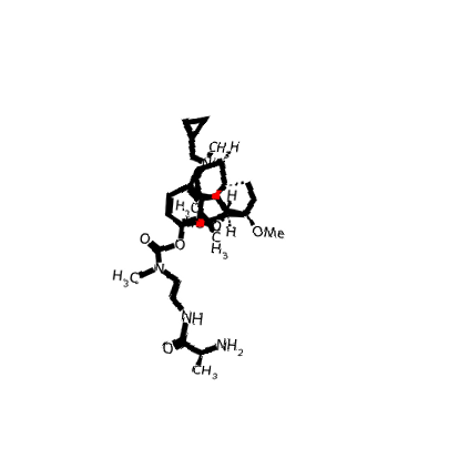 CO[C@]12CC[C@@]3(C[C@@H]1C(C)(C)O)[C@H]1Cc4ccc(OC(=O)N(C)CCNC(=O)[C@H](C)N)c5c4[C@@]3(CC[N+]1(C)CC1CC1)[C@H]2O5